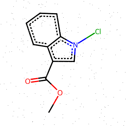 COC(=O)c1cn(Cl)c2ccccc12